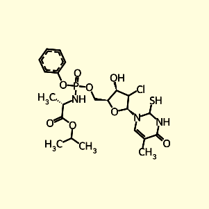 CC1=CN([C@H]2O[C@@H](COP(=O)(N[C@@H](C)C(=O)OC(C)C)Oc3ccccc3)[C@@H](O)C2Cl)C(S)NC1=O